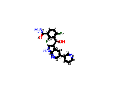 NC(=O)c1ccc(F)c(C(O)c2c[nH]c3ncc(-c4cccnc4)cc23)c1F